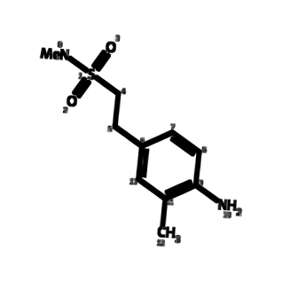 CNS(=O)(=O)CCc1ccc(N)c(C)c1